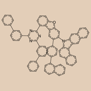 c1ccc(-c2cccc(-c3nc(-c4cccc(-c5ccccc5)c4)nc(-c4cccc5oc6cc(-n7c8cc9ccccc9cc8c8c9ccccc9ccc87)c(-c7ccc(-c8cccc9ccccc89)cc7)cc6c45)n3)c2)cc1